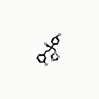 N#CC(CCc1cccc(Br)c1)(Cn1cncn1)c1ccc(Br)cc1